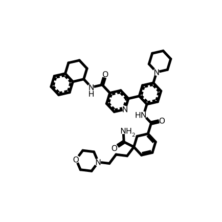 NC(=O)C1(CCCN2CCOCC2)C=CC=C(C(=O)Nc2ccc(N3CCCCC3)cc2-c2cc(C(=O)NC3CCCc4ccccc43)ccn2)C1